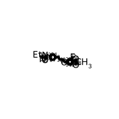 CCc1noc(N2CCC(CCCOc3ccc(S(C)(=O)=O)c(F)c3)CC2)n1